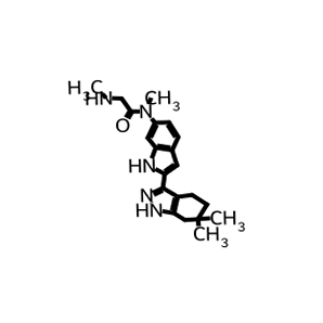 CNCC(=O)N(C)c1ccc2cc(-c3n[nH]c4c3CCC(C)(C)C4)[nH]c2c1